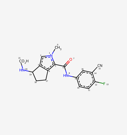 Cn1cc2c(c1C(=O)Nc1ccc(F)c(C#N)c1)CCC2NC(=O)O